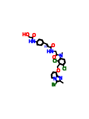 Cc1nc2c(OCc3c(Cl)ccc(N(C)C(=O)CNC(=O)/C=C/c4ccc(NC(=O)CO)cc4)c3Cl)cccn2c1Br